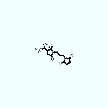 CC(C)C1CC(=O)N(CCCN2C(=O)C=CC2=O)C1=O